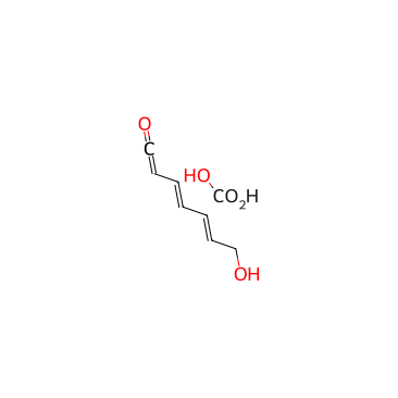 O=C(O)O.O=C=C/C=C/C=C/CO